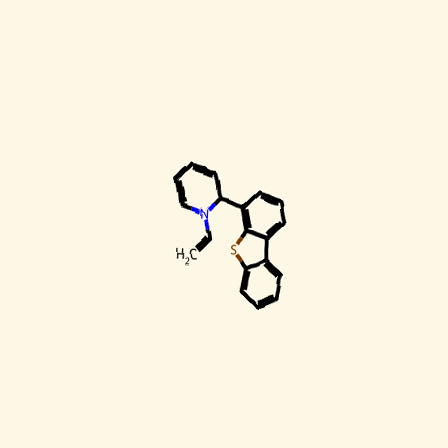 C=CN1C=CC=CC1c1cccc2c1sc1ccccc12